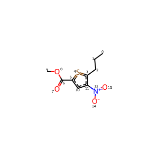 CCCc1sc(C(=O)OC)cc1[N+](=O)[O-]